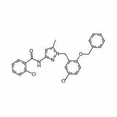 Cc1cc(NC(=O)c2ccccc2Cl)nn1Cc1cc(Cl)ccc1OCc1ccccc1